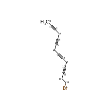 CC#CCC#CCC#CCC#CCCBr